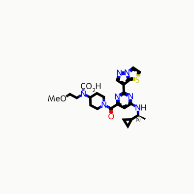 COCCN(C(=O)O)C1CCN(C(=O)c2cc(N[C@@H](C)C3CC3)nc(-c3cnn4ccsc34)n2)CC1